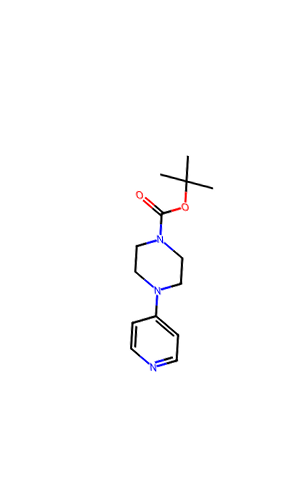 CC(C)(C)OC(=O)N1CCN(c2ccncc2)CC1